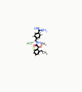 CCc1cccc(F)c1[C@H](OC)C(=O)NCc1ccc(C(=N)N)cc1.Cl